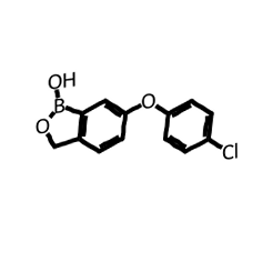 OB1OCc2ccc(Oc3ccc(Cl)cc3)cc21